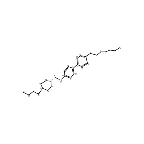 CCCCCCCc1cnc(-c2ccc(OC[C@H]3CC[C@H](CCCC)CC3)cc2)nc1